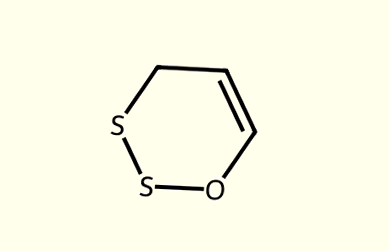 C1=COSSC1